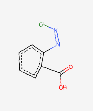 O=C(O)c1ccccc1/N=N\Cl